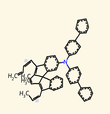 C=C/C=C\C1=C(C)C2(C(C=C)=C(/C=C\C)c3ccccc32)c2cc(N(c3ccc(-c4ccccc4)cc3)c3ccc(-c4ccccc4)cc3)ccc21